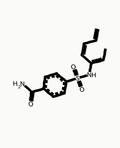 C=C/C=C\C(=C/C)NS(=O)(=O)c1ccc(C(N)=O)cc1